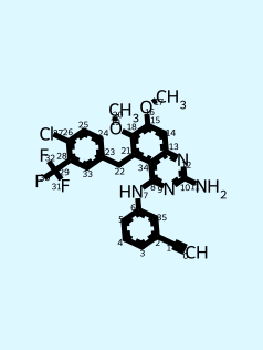 C#Cc1cccc(Nc2nc(N)nc3cc(OC)c(OC)c(Cc4ccc(Cl)c(C(F)(F)F)c4)c23)c1